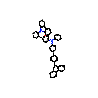 c1ccc(N(c2ccc(-c3ccc(-c4cc5ccccc5c5ccccc45)cc3)cc2)c2ccc(-c3ccccc3-n3c4ccccc4c4ccccc43)cc2)cc1